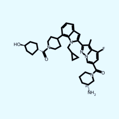 Cc1c(-c2cc3cccc(C4CCN(C(=O)[C@H]5CC[C@H](O)CC5)CC4)c3n2CC2CC2)nn2cc(C(=O)N3CCC[C@@H](N)C3)cc(F)c12